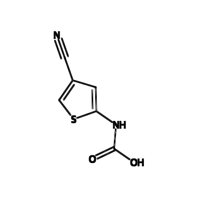 N#Cc1csc(NC(=O)O)c1